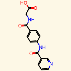 O=C(O)CNC(=O)c1ccc(NC(=O)c2cccnc2)cc1